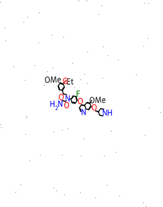 CCOc1cc(CCN(C(=O)C(N)=O)c2ccc(Oc3ccnc4cc(OCC5CCNCC5)c(OC)cc34)c(F)c2)ccc1OC